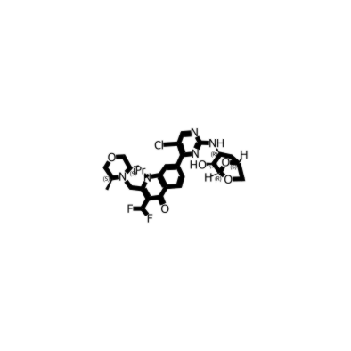 CC(C)n1c(CN2[C@@H](C)COC[C@@H]2C)c(C(F)F)c(=O)c2ccc(-c3nc(N[C@@H]4C[C@H]5CO[C@H](O5)[C@H]4O)ncc3Cl)cc21